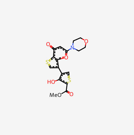 COC(=O)c1scc(-c2csc3c(=O)cc(N4CCOCC4)oc23)c1O